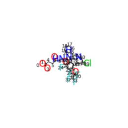 COC(=O)CCC(=O)CNC(=O)NC(Cc1ccccc1)(c1cc(F)cc(OC(F)(F)C(F)F)c1)c1ccc(Cl)cn1